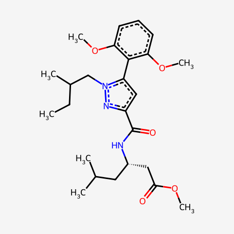 CCC(C)Cn1nc(C(=O)N[C@H](CC(=O)OC)CC(C)C)cc1-c1c(OC)cccc1OC